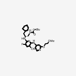 COCCOc1cc(Nc2nc(N[C@@H](CNC(=O)OC(C)(C)C)Cc3ccccc3)c(F)cc2C#N)ccn1